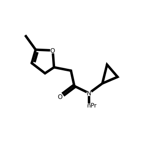 CCCN(C(=O)CC1CC=C(C)O1)C1CC1